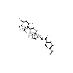 CCOc1ccc(C(=O)NC[C@H]2CC[C@H]3[C@@H]4CC[C@H]5N(C)C(=O)CC[C@]5(C)[C@H]4CC[C@]23C)cc1